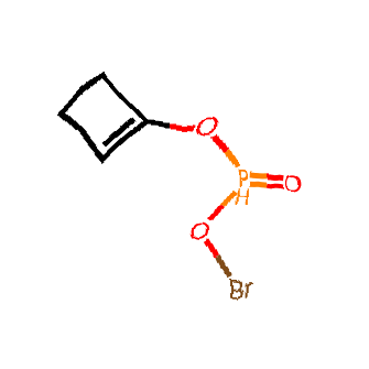 O=[PH](OBr)OC1=CCC1